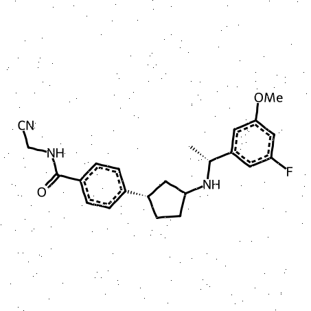 COc1cc(F)cc([C@@H](C)NC2CC[C@H](c3ccc(C(=O)NCC#N)cc3)C2)c1